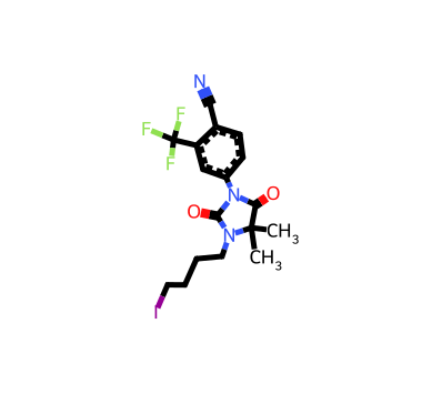 CC1(C)C(=O)N(c2ccc(C#N)c(C(F)(F)F)c2)C(=O)N1CCCCI